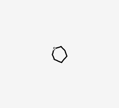 [CH]1CCCCSC1